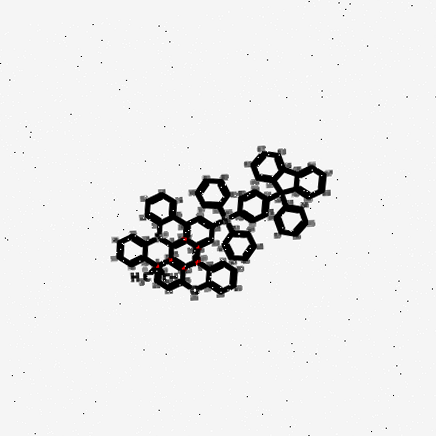 CC1(C)c2ccccc2N(c2ccccc2-c2cc(N3c4ccccc4Oc4ccccc43)cc([Si](c3ccccc3)(c3ccccc3)c3ccc(C4(c5ccccc5)c5ccccc5-c5ccccc54)cc3)c2)c2ccccc21